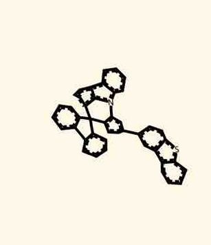 c1ccc2c(c1)-c1ccccc1C21c2ccc(-c3ccc4sc5ccccc5c4c3)cc2-n2c3ccccc3c3cccc1c32